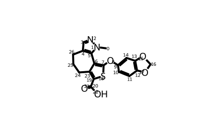 Cn1ncc2c1-c1c(Oc3ccc4c(c3)OCO4)sc(C(=O)O)c1CCC2